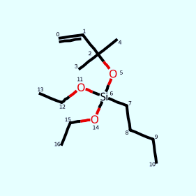 C=CC(C)(C)O[Si](CCCC)(OCC)OCC